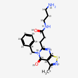 Cc1nsc2nc([CH]CC(=O)NCCCN)n(Cc3ccccc3)c(=O)c12